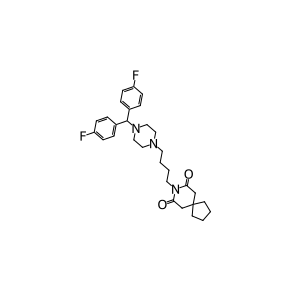 O=C1CC2(CCCC2)CC(=O)N1CCCCN1CCN(C(c2ccc(F)cc2)c2ccc(F)cc2)CC1